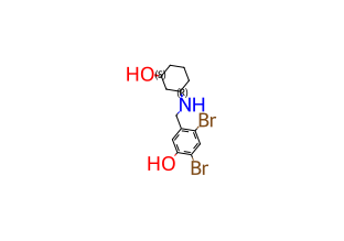 Oc1cc(CN[C@@H]2CCC[C@H](O)C2)c(Br)cc1Br